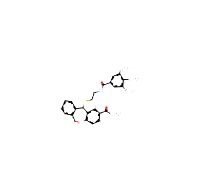 COC(=O)c1ccc2c(c1)C(SCCNC(=O)c1cc(OC)c(OC)c(OC)c1)c1ccccc1CO2